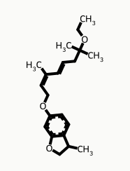 CCOC(C)(C)CC=CC(C)=CCOc1ccc2c(c1)OCC2C